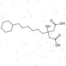 O=C(O)CC(O)(CCCCCCC1CCCCC1)CC(=O)O